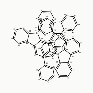 c1ccc(-c2ccccc2-n2c3ccccc3c3cc(-c4ccccc4)c(-n4c5ccccc5c5cccc([Si](c6ccccc6)(c6ccccc6)c6ccccc6)c54)cc32)cc1